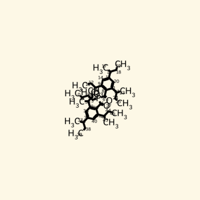 CCCCP(=O)(C(=O)c1c(C(C)CC)cc(C(C)CC)cc1C(C)CC)C(=O)c1c(C(C)CC)cc(C(C)CC)cc1C(C)CC